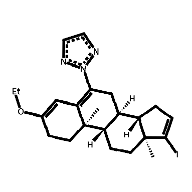 CCOC1=CC2=C(n3nccn3)C[C@@H]3[C@H](CC[C@]4(C)C(I)=CC[C@@H]34)[C@@]2(C)CC1